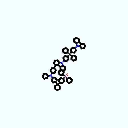 O=P(c1ccccc1)(c1ccccc1)c1ccc(C2(c3ccc(N(c4ccccc4)c4ccc(-c5cccc6c5c5ccccc5n6-c5ccc([Si](c6ccccc6)(c6ccccc6)c6ccc(-n7c8ccccc8c8ccccc87)cc6)cc5)cc4)cc3)CCCCC2)cc1